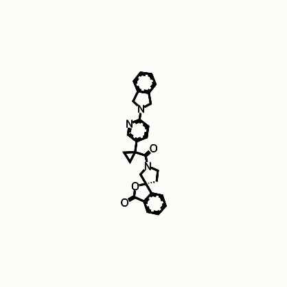 O=C1O[C@]2(CCN(C(=O)C3(c4ccc(N5Cc6ccccc6C5)nc4)CC3)C2)c2ccccc21